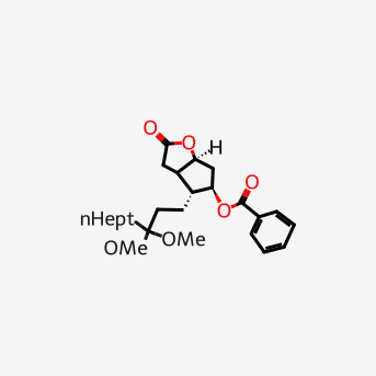 CCCCCCCC(CC[C@@H]1C2CC(=O)O[C@H]2C[C@H]1OC(=O)c1ccccc1)(OC)OC